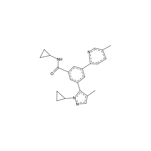 Cc1ccc(-c2cc(C(=O)NC3CC3)cc(-c3c(C)cnn3C3CC3)c2)nc1